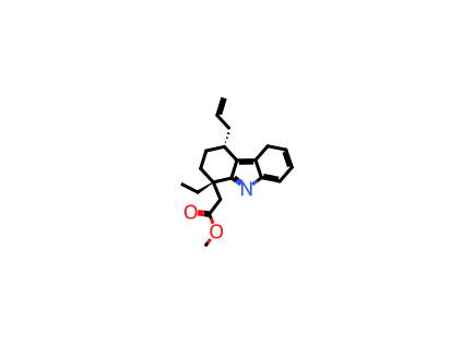 C=CC[C@H]1CC[C@@](CC)(CC(=O)OC)C2=NC3=CC=CCC3=C21